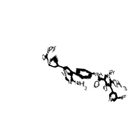 Cc1c(-c2cncc(F)c2)c(=O)c(C(=O)Nc2ccc(-c3cc(C4CCN(C(=O)C(C)C)CC4)n4ncnc(N)c34)cc2)cn1C(C)C